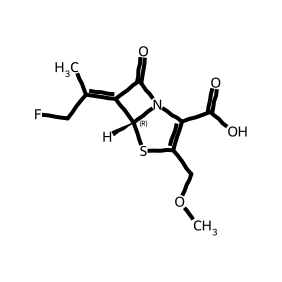 COCC1=C(C(=O)O)N2C(=O)C(=C(C)CF)[C@H]2S1